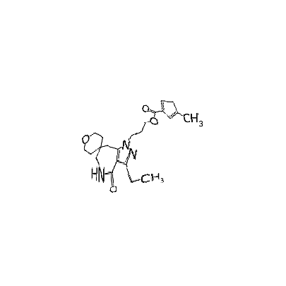 CCc1nn(CCCOC(=O)C2=CCC(C)=C2)c2c1C(=O)NCC1(CCOCC1)C2